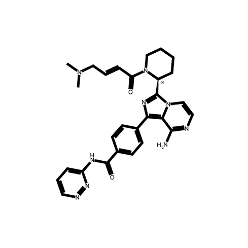 CN(C)CC=CC(=O)N1CCCC[C@H]1c1nc(-c2ccc(C(=O)Nc3cccnn3)cc2)c2c(N)nccn12